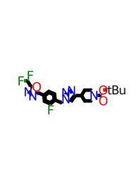 CC(C)(C)OC(=O)N1CCC(c2cn(Cc3ccc(-c4nnc(C(F)F)o4)cc3F)nn2)CC1